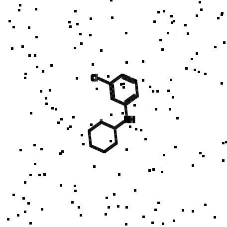 Clc1cccc(NC2[CH]CCCC2)c1